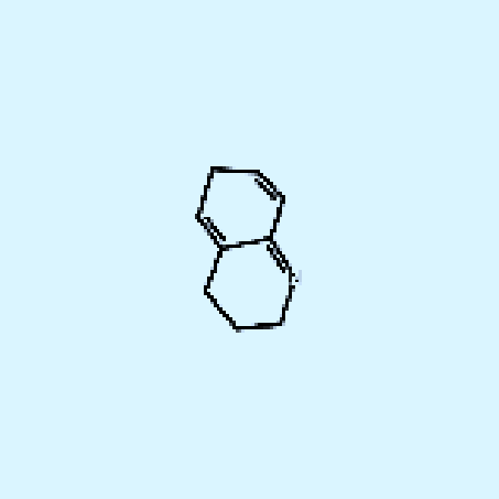 C1=CC2=NCCCC2=CC1